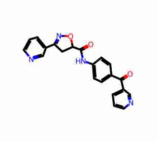 O=C(c1ccc(NC(=O)C2CC(c3cccnc3)=NO2)cc1)c1cccnc1